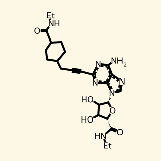 CCNC(=O)C1CCC(CC#Cc2nc(N)c3ncn([C@@H]4O[C@H](C(=O)NCC)C(O)C4O)c3n2)CC1